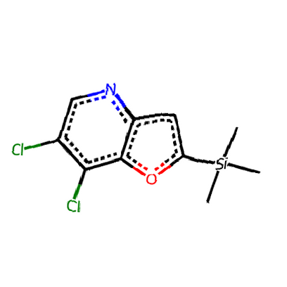 C[Si](C)(C)c1cc2ncc(Cl)c(Cl)c2o1